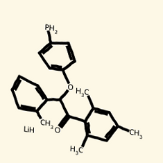 Cc1cc(C)c(C(=O)C(Oc2ccc(P)cc2)c2ccccc2C)c(C)c1.[LiH]